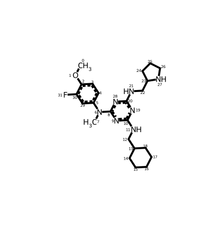 COc1ccc(N(C)c2nc(NCC3CCCCC3)nc(NCC3CCCN3)n2)cc1F